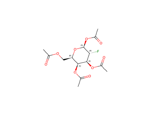 CC(=O)OC[C@H]1O[C@@H](OC(C)=O)[C@H](F)[C@@H](OC(C)=O)[C@H]1OC(C)=O